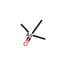 C[As](C)(C)=O